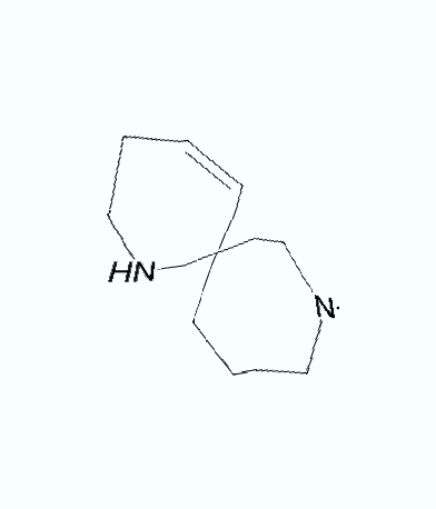 C1=CC2(CCC[N]C2)NCC1